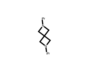 CC(C)N1CC2(C1)CN(C(C)C)C2